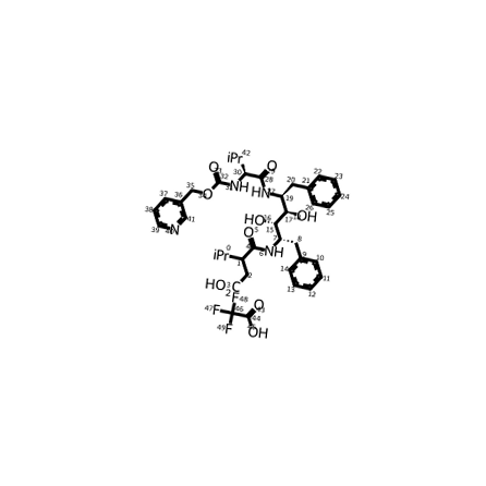 CC(C)C(CC(=O)O)C(=O)N[C@@H](Cc1ccccc1)[C@H](O)[C@H](O)[C@H](Cc1ccccc1)NC(=O)[C@@H](NC(=O)OCc1cccnc1)C(C)C.O=C(O)C(F)(F)F